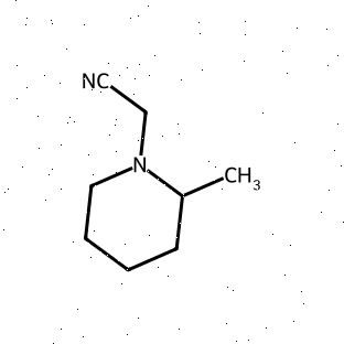 CC1CCCCN1CC#N